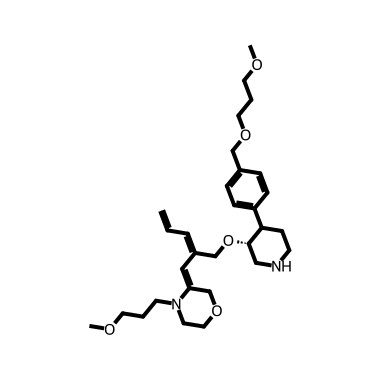 C=C/C=C(\C=C1/COCCN1CCCOC)CO[C@H]1CNCCC1c1ccc(COCCCOC)cc1